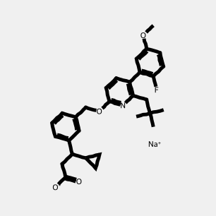 COc1ccc(F)c(-c2ccc(OCc3cccc(C(CC(=O)[O-])C4CC4)c3)nc2CC(C)(C)C)c1.[Na+]